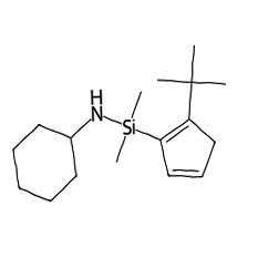 CC(C)(C)C1=C([Si](C)(C)NC2CCCCC2)C=CC1